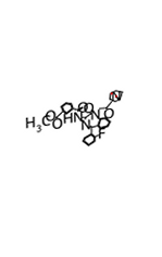 COC(=O)c1cccc(C(=O)NC2N=C(c3ccccc3F)c3ccccc3N(CC(=O)N3CC4CCC(CC4)C3)C2=O)c1